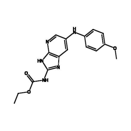 CCOC(=O)Nc1nc2cc(Nc3ccc(OC)cc3)cnc2[nH]1